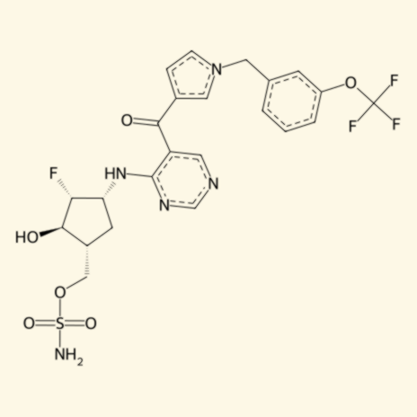 NS(=O)(=O)OC[C@H]1C[C@@H](Nc2ncncc2C(=O)c2ccn(Cc3cccc(OC(F)(F)F)c3)c2)[C@@H](F)[C@@H]1O